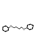 [CH](CCCOc1ccccc1)Oc1ccccc1